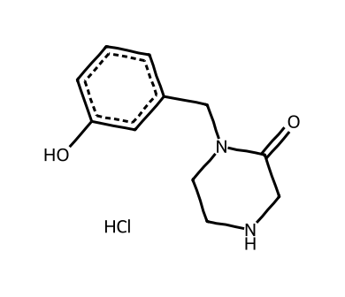 Cl.O=C1CNCCN1Cc1cccc(O)c1